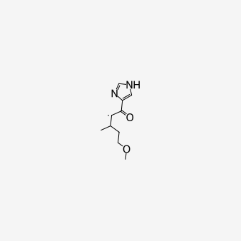 COCCC(C)[CH]C(=O)c1c[nH]cn1